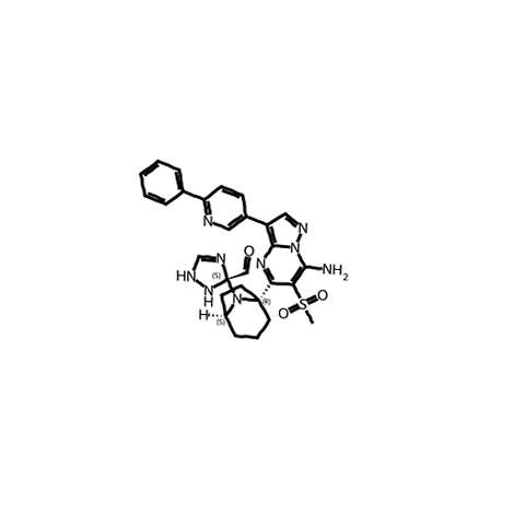 CS(=O)(=O)c1c([C@@]23CCC[C@@H](CC2)N3[C@@]2(C=O)N=CNN2)nc2c(-c3ccc(-c4ccccc4)nc3)cnn2c1N